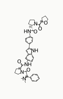 CN(C)[C@@H](C(=O)N1CCC[C@H]1C(=O)Nc1ccc2[nH]c(-c3ccc(NC(=O)[C@@H]4CCCN4C(=O)[C@H]4CCCO4)cc3)cc2c1)c1ccccc1